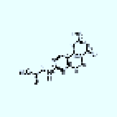 CCCCC(CC)CNc1ccc2c(c1)CCn1c-2cc(CC)nc1=O